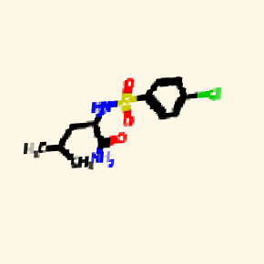 CC(C)CC(NS(=O)(=O)c1ccc(Cl)cc1)C(N)=O